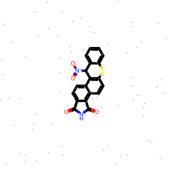 O=C1NC(=O)c2c1ccc1c3c(ccc21)Sc1ccccc1C3[N+](=O)[O-]